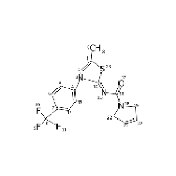 Cc1cn(-c2ccc(C(F)(F)F)cc2)/c(=N/C(=O)N2CC=CC2)s1